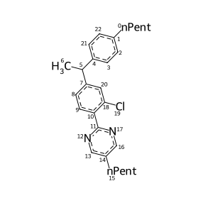 CCCCCc1ccc(C(C)c2ccc(-c3ncc(CCCCC)cn3)c(Cl)c2)cc1